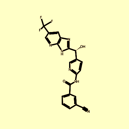 N#Cc1cccc(C(=O)Nc2ccc([C@@H](O)c3nc4cc(C(F)(F)F)cnc4[nH]3)cn2)c1